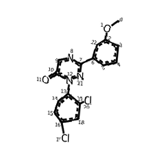 COc1cccc(-c2ncc(=O)n(-c3ccc(Cl)cc3Cl)n2)c1